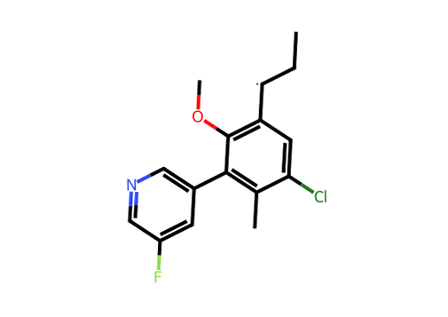 CC[CH]c1cc(Cl)c(C)c(-c2cncc(F)c2)c1OC